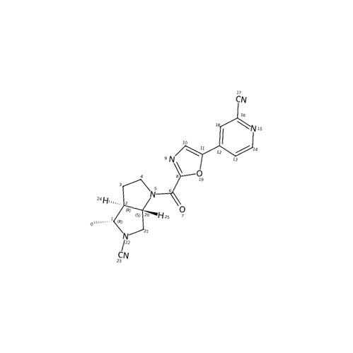 C[C@@H]1[C@H]2CCN(C(=O)c3ncc(-c4ccnc(C#N)c4)o3)[C@@H]2CN1C#N